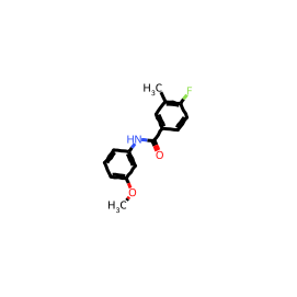 COc1cccc(NC(=O)c2ccc(F)c(C)c2)c1